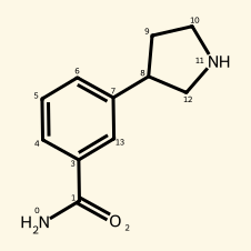 NC(=O)c1cccc(C2CCNC2)c1